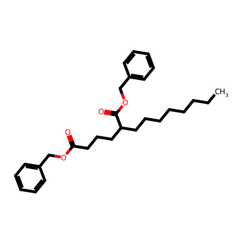 CCCCCCCCC(CCCC(=O)OCc1ccccc1)C(=O)OCc1ccccc1